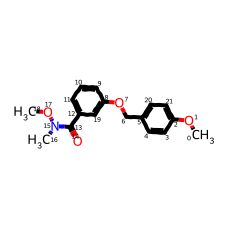 COc1ccc(COc2cccc(C(=O)N(C)OC)c2)cc1